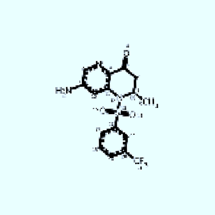 C[C@@H]1CC(=O)c2ncc(N)cc2N1S(=O)(=O)c1cccc(C(F)(F)F)c1